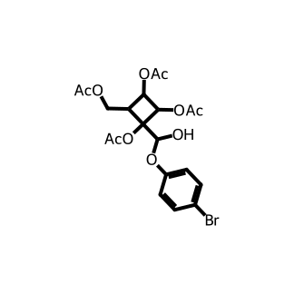 CC(=O)OCC1C(OC(C)=O)C(OC(C)=O)C1(OC(C)=O)C(O)Oc1ccc(Br)cc1